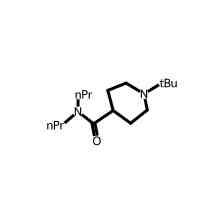 CCCN(CCC)C(=O)C1CCN(C(C)(C)C)CC1